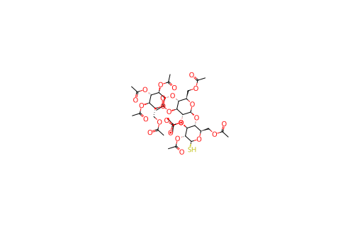 CC(=O)OC[C@H]1O[C@@H](S)[C@H](OC(C)=O)[C@@H](OC(C)=O)[C@@H]1O[C@@H]1O[C@H](COC(C)=O)[C@@H](O[C@@H]2O[C@H](COC(C)=O)[C@@H](OC(C)=O)[C@H](OC(C)=O)[C@H]2OC(C)=O)[C@H](OC(C)=O)[C@H]1OC(C)=O